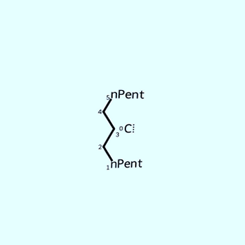 [C].[C]CCCCCCCCCCCC